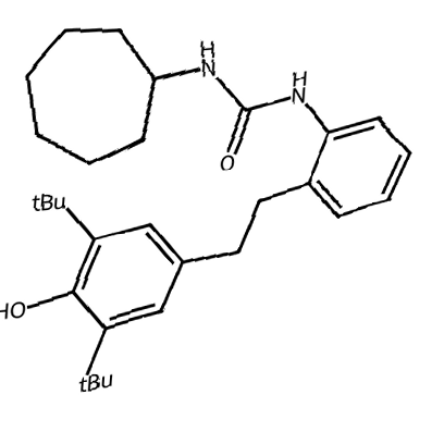 CC(C)(C)c1cc(CCc2ccccc2NC(=O)NC2CCCCCC2)cc(C(C)(C)C)c1O